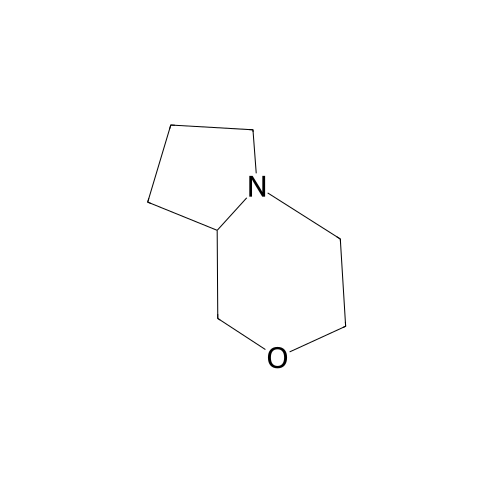 C1CC2COCCN2C1